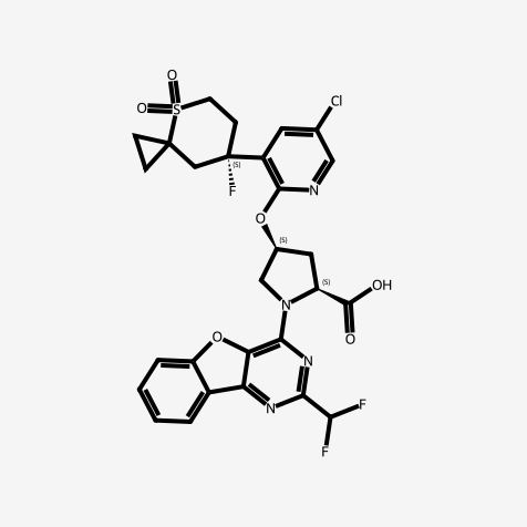 O=C(O)[C@@H]1C[C@H](Oc2ncc(Cl)cc2[C@]2(F)CCS(=O)(=O)C3(CC3)C2)CN1c1nc(C(F)F)nc2c1oc1ccccc12